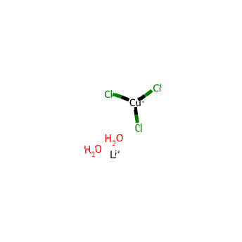 O.O.[Cl][Cu-]([Cl])[Cl].[Li+]